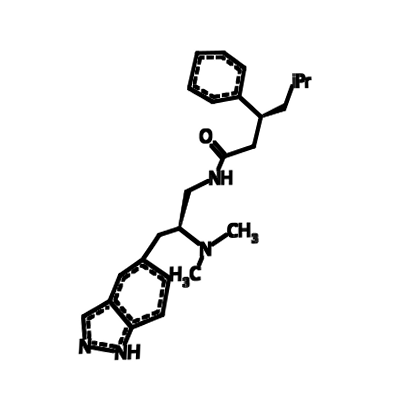 CC(C)C[C@@H](CC(=O)NC[C@H](Cc1ccc2[nH]ncc2c1)N(C)C)c1ccccc1